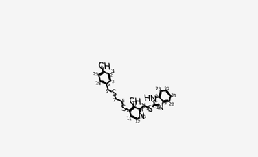 Cc1ccc(CSCCSc2ccnc(CSc3nc4ccccc4[nH]3)c2C)cc1